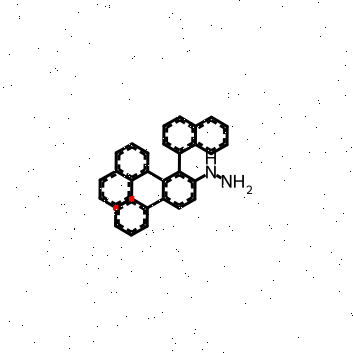 NNc1ccc(-c2ccccc2)c(-c2cccc3ccccc23)c1-c1cccc2ccccc12